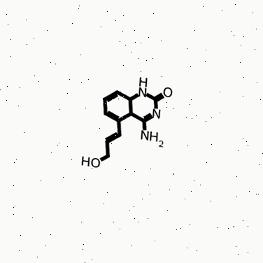 NC1=NC(=O)NC2C=CC=C(/C=C/CO)C12